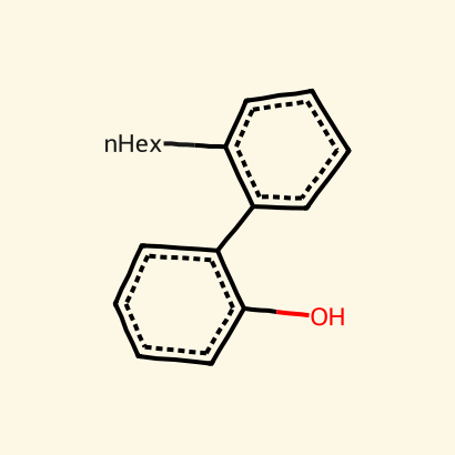 CCCCCCc1ccccc1-c1ccccc1O